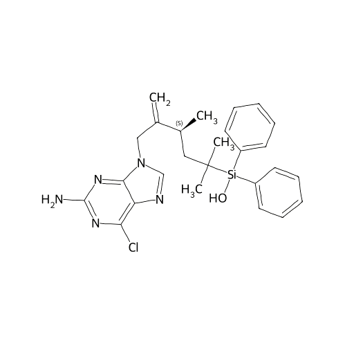 C=C(Cn1cnc2c(Cl)nc(N)nc21)[C@@H](C)CC(C)(C)[Si](O)(c1ccccc1)c1ccccc1